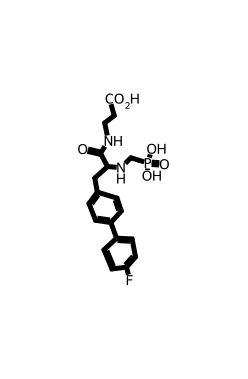 O=C(O)CCNC(=O)C(Cc1ccc(-c2ccc(F)cc2)cc1)NCP(=O)(O)O